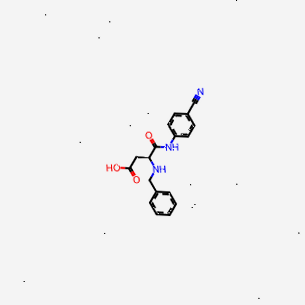 N#Cc1ccc(NC(=O)[C@H](CC(=O)O)NCc2ccccc2)cc1